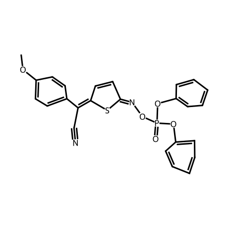 COc1ccc(C(C#N)=C2C=CC(=NOP(=O)(Oc3ccccc3)Oc3ccccc3)S2)cc1